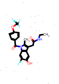 CCNC(=O)Cc1c(C)n(C(=O)c2ccc(OC(F)(F)F)cc2)c2cc(F)c(O)cc12